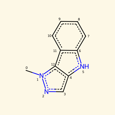 Cn1ncc2[nH]c3ccccc3c21